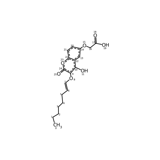 CCCCCCC=COc1c(O)c2cc(OCC(=O)O)ccc2oc1=O